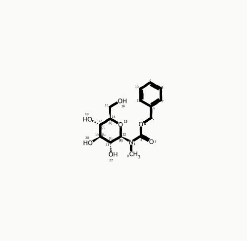 CN(C(=O)OCc1ccccc1)[C@@H]1O[C@H](CO)[C@@H](O)[C@H](O)[C@H]1O